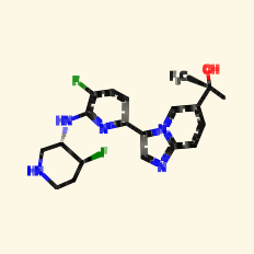 C[C@@](O)(c1ccc2ncc(-c3ccc(F)c(N[C@H]4CNCC[C@@H]4F)n3)n2c1)C(F)(F)F